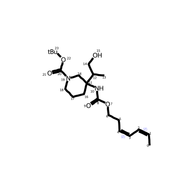 C/C=C\C=C/CCOC(=O)NC1(C(C)CO)CCCN(C(=O)OC(C)(C)C)C1